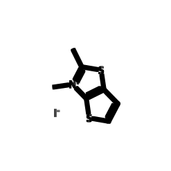 Cc1sc2ccsc2[n+]1C.[I-]